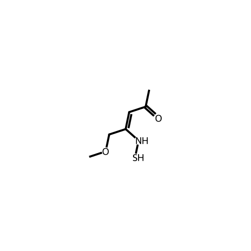 COC/C(=C/C(C)=O)NS